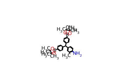 Cc1cc(C(c2ccc(B3OC(C)(C)C(C)(C)O3)cc2)c2ccc(B3OC(C)(C)C(C)(C)O3)cc2)ccc1N